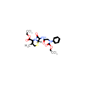 CC1=C(C(=O)OCC(Cl)(Cl)Cl)N2C(=O)C(NC(=O)CN(C(=O)OCC(Cl)(Cl)Cl)c3ccccc3)[C@@H]2SC1